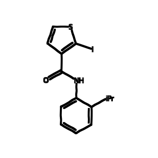 CC(C)c1ccccc1NC(=O)c1ccsc1I